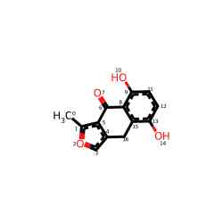 Cc1occ2c1C(=O)c1c(O)ccc(O)c1C2